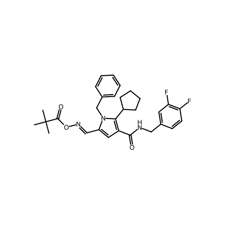 CC(C)(C)C(=O)O/N=C/c1cc(C(=O)NCc2ccc(F)c(F)c2)c(C2CCCC2)n1Cc1ccccc1